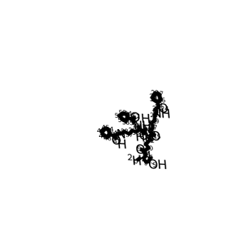 [2H]C[C@@H]1C[C@@H](O)CN1C(=O)CCCNC(=O)C(CCCCNCC(=O)c1ccccc1)NC(=O)C(CCCCNCC(=O)c1ccccc1)NCC(=O)c1ccccc1